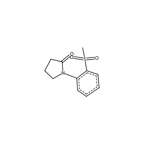 CS(=O)(=O)c1ccccc1N1CCCC1=O